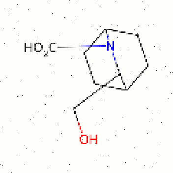 O=C(O)N1C2CCC(CC2)C1CO